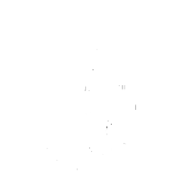 COCC(=O)N1C[C@@H](F)[C@H](NC(=O)c2c(C)[nH]c3c(-c4cc(C(F)(F)F)ccc4OCC4CC4)ncnc23)C1